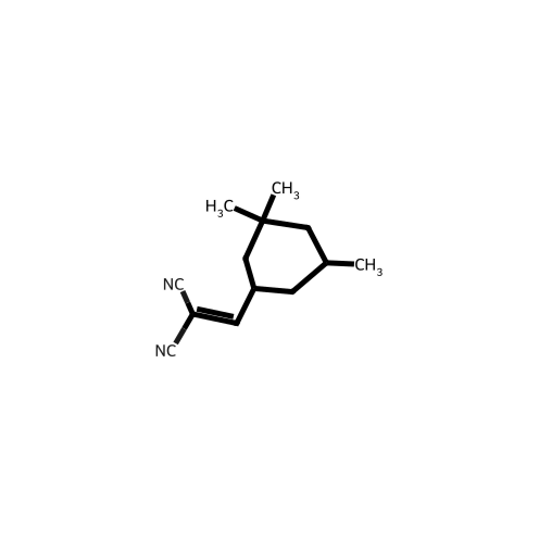 CC1CC(C=C(C#N)C#N)CC(C)(C)C1